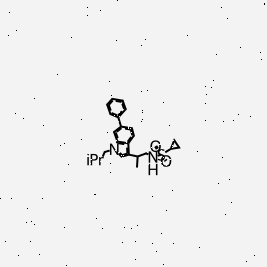 CC(C)Cn1cc(C(C)CNS(=O)(=O)C2CC2)c2ccc(-c3ccccc3)cc21